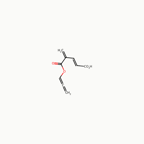 C=C=COC(=O)C(=C)C=CC(=O)O